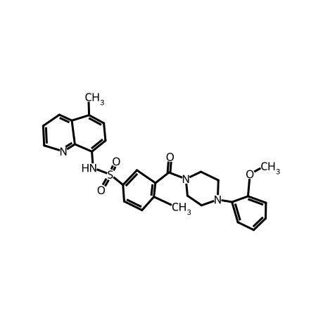 COc1ccccc1N1CCN(C(=O)c2cc(S(=O)(=O)Nc3ccc(C)c4cccnc34)ccc2C)CC1